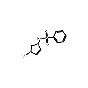 O=S(=O)(NN1C=CN(C(F)(F)F)C1)c1ccccc1